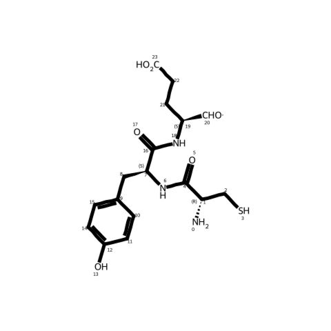 N[C@@H](CS)C(=O)N[C@@H](Cc1ccc(O)cc1)C(=O)N[C@H]([C]=O)CCC(=O)O